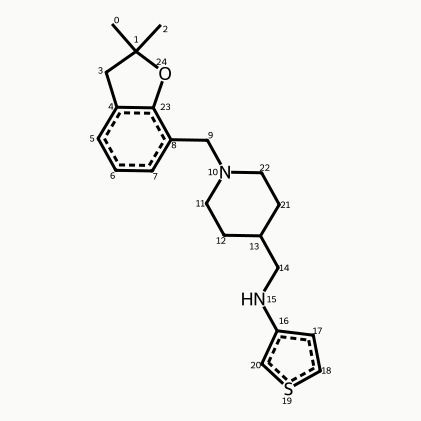 CC1(C)Cc2cccc(CN3CCC(CNc4ccsc4)CC3)c2O1